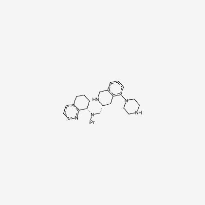 CC(C)N(C[C@H]1Cc2c(cccc2N2CCNCC2)CN1)[C@H]1CCCc2cccnc21